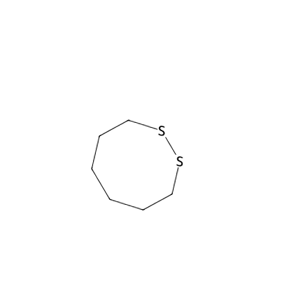 C1CCCSSCC1